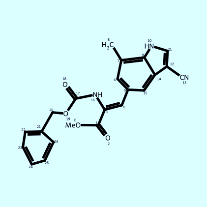 COC(=O)C(=Cc1cc(C)c2[nH]cc(C#N)c2c1)NC(=O)OCc1ccccc1